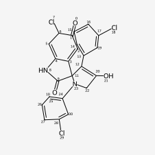 O=C1C=C2C(=CC1Cl)NC(=O)C21C(c2cccc(Cl)c2)=C(O)CN1c1cccc(Cl)c1